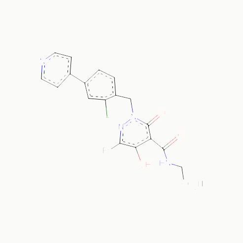 CC(C)c1nn(Cc2ccc(-c3ccncc3)cc2F)c(=O)c(C(=O)NCC(=O)O)c1O